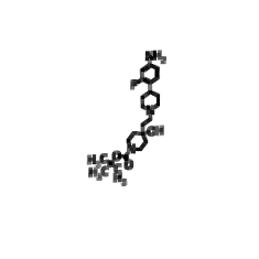 CC(C)(C)OC(=O)N1CCC(O)(CCN2CCC(c3ccc(N)cc3F)CC2)CC1